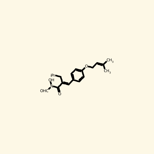 CC(C)=CCOc1ccc(/C=C(\CC(C)C)C(=O)N(O)C=O)cc1